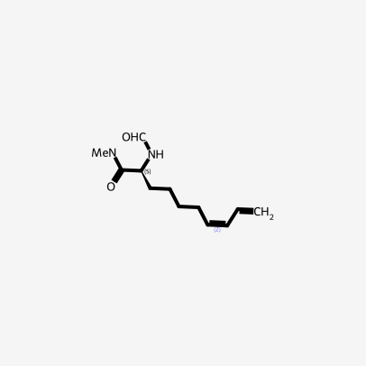 C=C/C=C\CCCC[C@H](NC=O)C(=O)NC